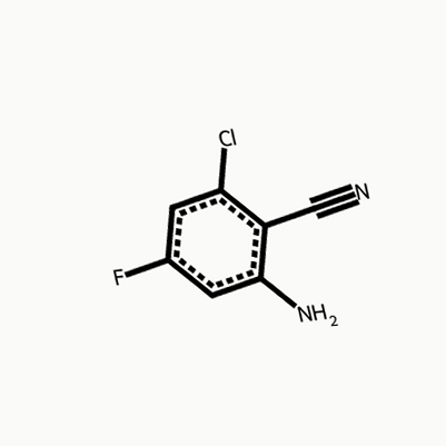 N#Cc1c(N)cc(F)cc1Cl